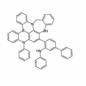 B1c2ccccc2CN2c3ccccc3B3c4ccccc4N(c4ccccc4)c4cc(-c5ccc(-c6ccccc6)cc5Nc5ccccc5)c1c2c43